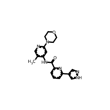 Cc1cnc(N2CCOCC2)cc1NC(=O)c1cccc(-c2cn[nH]c2)n1